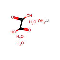 O.O.O.O.O=C(O)C(=O)O.[Lu]